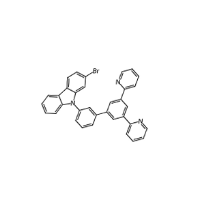 Brc1ccc2c3ccccc3n(-c3cccc(-c4cc(-c5ccccn5)cc(-c5ccccn5)c4)c3)c2c1